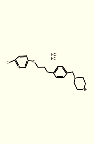 Cl.Cl.Clc1ccc(OCCCc2ccc(CN3CCNCC3)cc2)cn1